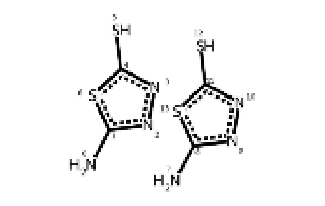 Nc1nnc(S)s1.Nc1nnc(S)s1